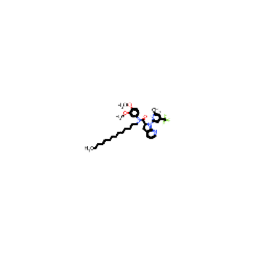 CCCCCCCCCCCCCCN(C(=O)C1Cc2cccnc2N1c1cc(C(F)(F)F)cc(C)n1)c1ccc(OC)c(OC)c1